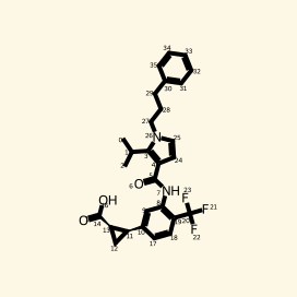 CC(C)c1c(C(=O)Nc2cc([C@H]3C[C@H]3C(=O)O)ccc2C(F)(F)F)ccn1CCCc1ccccc1